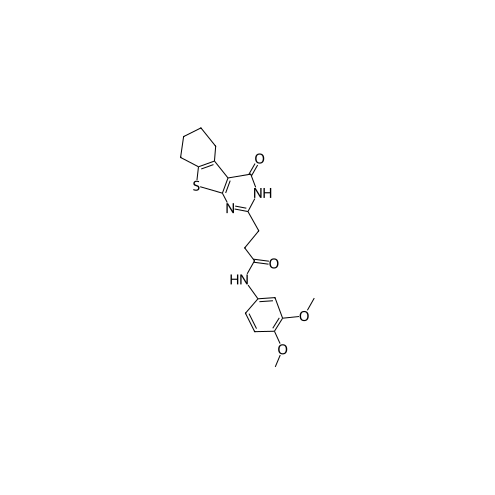 COc1ccc(NC(=O)CCc2nc3sc4c(c3c(=O)[nH]2)CCCC4)cc1OC